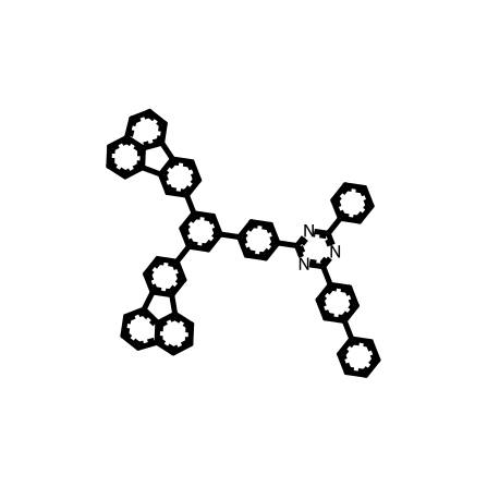 c1ccc(-c2ccc(-c3nc(-c4ccccc4)nc(-c4ccc(-c5cc(-c6ccc7c(c6)-c6cccc8cccc-7c68)cc(-c6ccc7c(c6)-c6cccc8cccc-7c68)c5)cc4)n3)cc2)cc1